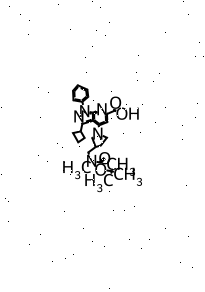 CN(CC1CCN(c2cc(C(=O)O)nc3c2c(C2CCC2)nn3-c2ccccc2)C1)C(=O)OC(C)(C)C